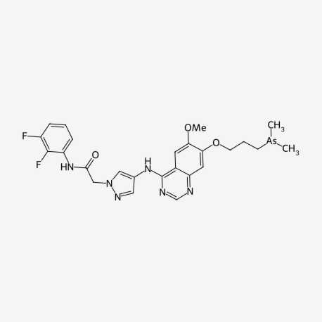 COc1cc2c(Nc3cnn(CC(=O)Nc4cccc(F)c4F)c3)ncnc2cc1OCCC[As](C)C